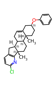 C[C@]12CC[C@H](Oc3ccccc3)CC1=CCC1[C@@H]2CC[C@]2(C)c3nc(Cl)ccc3C[C@@H]12